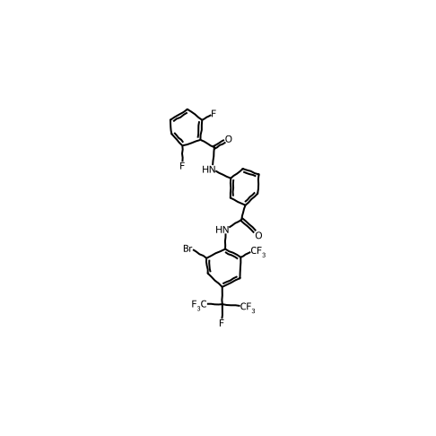 O=C(Nc1c(Br)cc(C(F)(C(F)(F)F)C(F)(F)F)cc1C(F)(F)F)c1cccc(NC(=O)c2c(F)cccc2F)c1